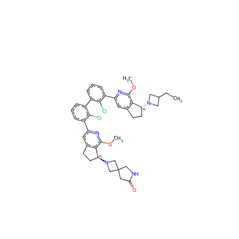 CCC1CN([C@@H]2CCc3cc(-c4cccc(-c5cccc(-c6cc7c(c(OC)n6)[C@@H](N6CC8(CNC(=O)C8)C6)CC7)c5Cl)c4Cl)nc(OC)c32)C1